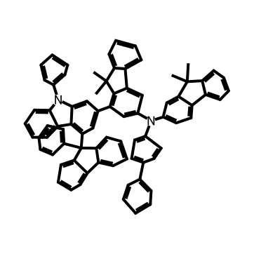 CC1(C)c2ccccc2-c2ccc(N(c3ccc(-c4ccccc4)cc3)c3cc(-c4cc(C5(c6ccccc6)c6ccccc6-c6ccccc65)c5c6ccccc6n(-c6ccccc6)c5c4)c4c(c3)-c3ccccc3C4(C)C)cc21